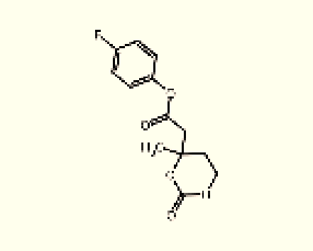 CC1(CC(=O)Oc2ccc(F)cc2)CCOC(=O)O1